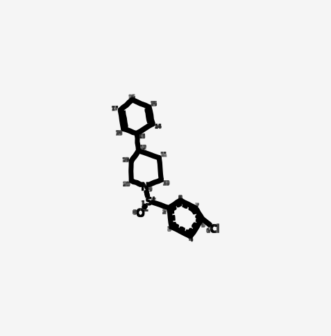 [O-][S+](c1ccc(Cl)cc1)N1CCC(C2C=CCC=C2)CC1